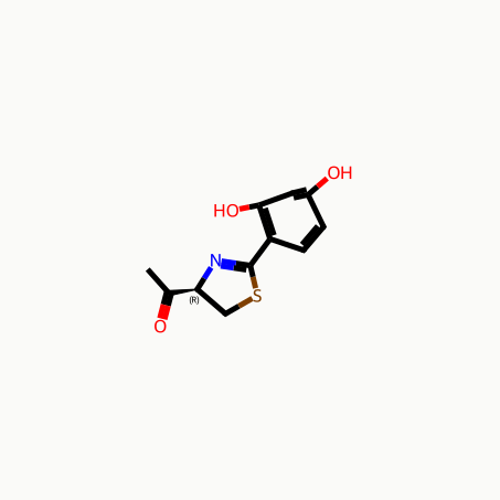 CC(=O)[C@@H]1CSC(c2ccc(O)cc2O)=N1